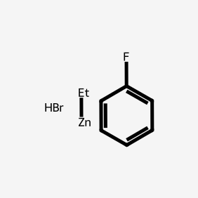 Br.C[CH2][Zn].Fc1ccccc1